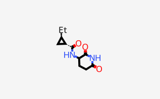 CC[C@@H]1C[C@H]1C(=O)NC1CCC(=O)NC1=O